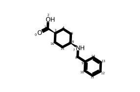 O=C(O)[C@H]1CC[C@@H](NCc2ccccc2)CC1